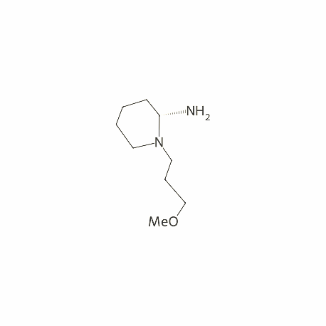 COCCCN1CCCC[C@@H]1N